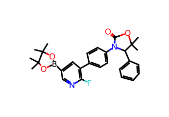 CC1(C)OC(=O)N(c2ccc(-c3cc(B4OC(C)(C)C(C)(C)O4)cnc3F)cc2)C1c1ccccc1